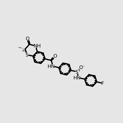 C[C@H]1Sc2ccc(C(=O)Nc3ccc([S+]([O-])Nc4ccc(F)cc4)cc3)cc2NC1=O